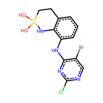 OS1(O)CCc2cccc(Nc3nc(Cl)ncc3Br)c2N1